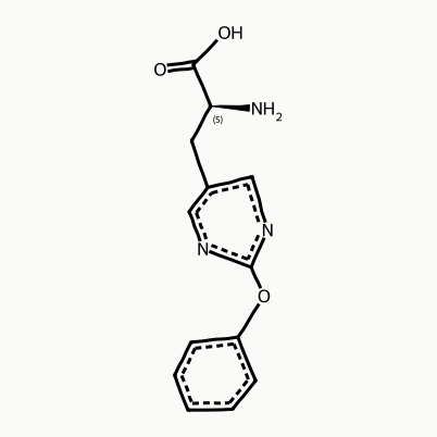 N[C@@H](Cc1cnc(Oc2ccccc2)nc1)C(=O)O